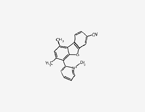 Cc1cc(C)c2c(oc3cc(C#N)ccc32)c1-c1cccc[n+]1C